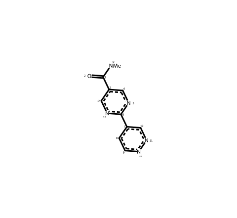 CNC(=O)c1cnc(-c2ccnnc2)nc1